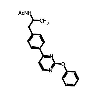 CC(=O)NC(C)Cc1ccc(-c2ccnc(Oc3ccccc3)n2)cc1